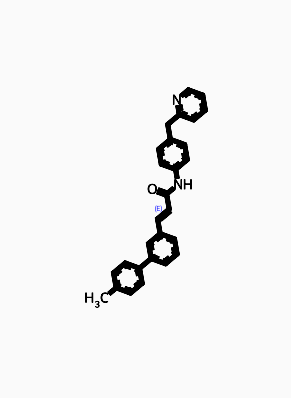 Cc1ccc(-c2cccc(/C=C/C(=O)Nc3ccc(Cc4ccccn4)cc3)c2)cc1